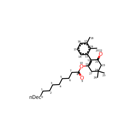 CCCCCCCCCCCCCCCCCC(=O)OC1=C(c2cccc(C)c2C)C(=O)CC(C)(C)C1